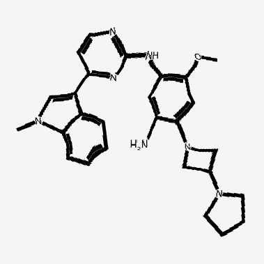 COc1cc(N2CC(N3CCCC3)C2)c(N)cc1Nc1nccc(-c2cn(C)c3ccccc23)n1